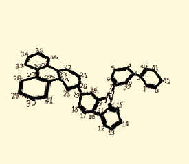 C1=CC(c2cccc(-n3c4c(c5ccccc53)C=CC(C3C=CC5C(C3)C3=C(CCCC3)C3CCC=CC35)C4)c2)=CCC1